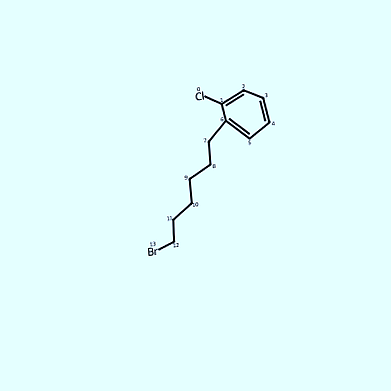 Clc1ccccc1CCCCCCBr